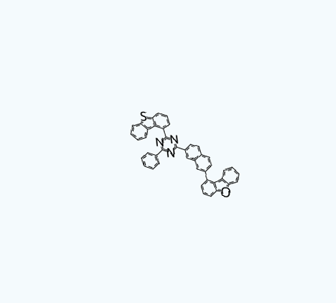 c1ccc(-c2nc(-c3ccc4ccc(-c5cccc6oc7ccccc7c56)cc4c3)nc(-c3cccc4sc5ccccc5c34)n2)cc1